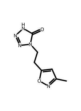 Cc1cc(CCn2nn[nH]c2=O)on1